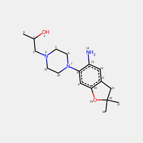 CC(O)CN1CCN(c2cc3c(cc2N)CC(C)(C)O3)CC1